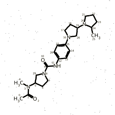 CC(=O)N(C)C1CCN(C(=O)Nc2ccc(N3CCC(N4CCCC4C)C3)cc2)C1